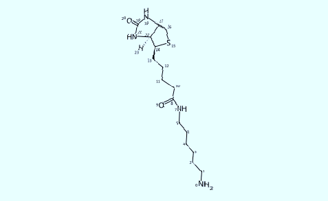 NCCCCCCNC(=O)CCCC[C@@H]1SCC2NC(=O)N[C@@H]21